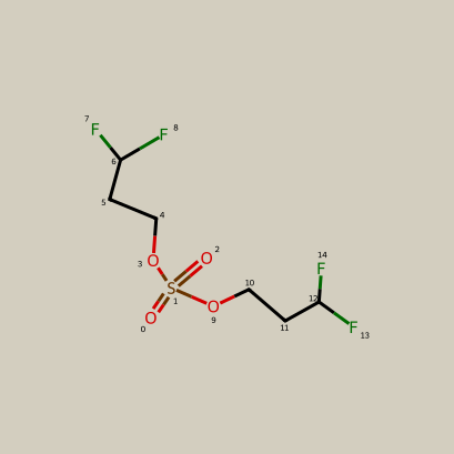 O=S(=O)(OCCC(F)F)OCCC(F)F